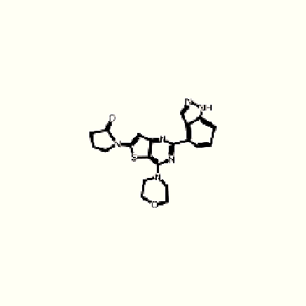 O=C1CCCN1c1cc2nc(-c3cccc4[nH]ncc34)nc(N3CCOCC3)c2s1